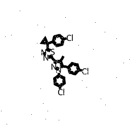 Cc1c(-c2nnc(C3(c4ccc(Cl)cc4)CC3)s2)nn(-c2ccc(Cl)cc2)c1-c1ccc(Cl)cc1